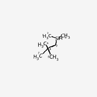 C[SiH](C)CC(C)(C)C